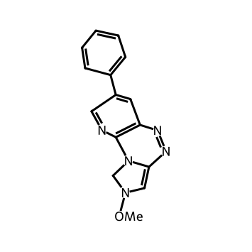 CON1C=C2N=Nc3cc(-c4ccccc4)cnc3N2C1